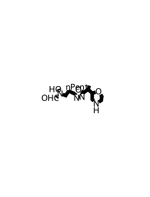 CCCCCC(CN(O)C=O)c1nnc(C(C)C2CNCCO2)o1